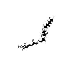 O=S(=O)(O)CCCC(F)COCC(F)(F)OC(F)(F)C(F)(F)OC(F)(F)C(F)(F)C(F)(F)C(F)(F)F